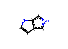 C1=Cc2c[nH]cc2[N]1